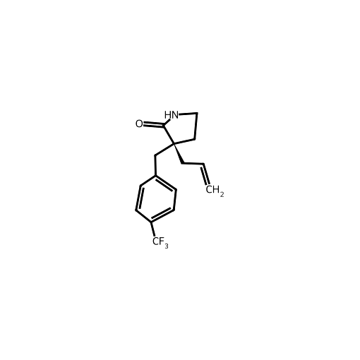 C=CC[C@]1(Cc2ccc(C(F)(F)F)cc2)CCNC1=O